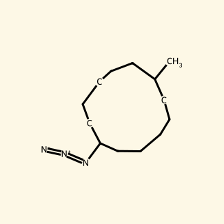 CC1CCCCCC(N=[N+]=[N-])CCCCC1